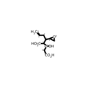 C=CCC(C1CO1)C(C(=O)O)N(O)CC(=O)O